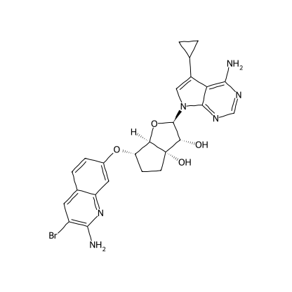 Nc1nc2cc(O[C@H]3CC[C@@]4(O)[C@@H]3O[C@@H](n3cc(C5CC5)c5c(N)ncnc53)[C@@H]4O)ccc2cc1Br